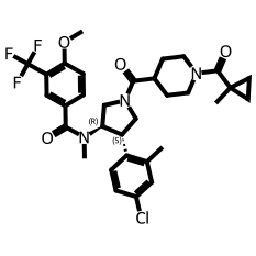 COc1ccc(C(=O)N(C)[C@H]2CN(C(=O)C3CCN(C(=O)C4(C)CC4)CC3)C[C@@H]2c2ccc(Cl)cc2C)cc1C(F)(F)F